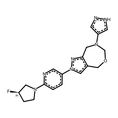 F[C@@H]1CCN(c2ccc(-n3cc4c(n3)CN(c3cn[nH]c3)COC4)cn2)C1